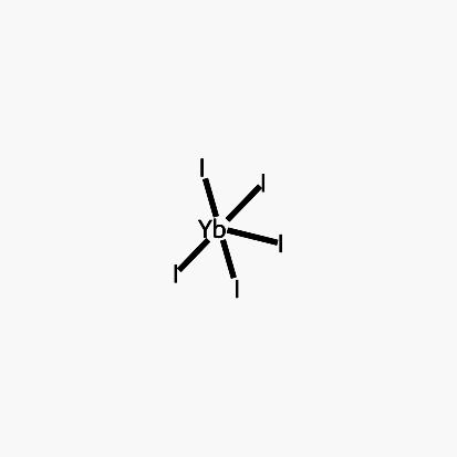 [I][Yb]([I])([I])([I])[I]